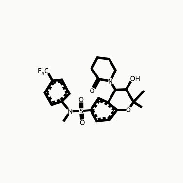 CN(c1ccc(C(F)(F)F)cc1)S(=O)(=O)c1ccc2c(c1)C(N1CCCCC1=O)C(O)C(C)(C)O2